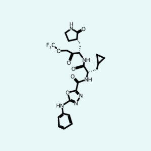 O=C(N[C@@H](CC1CC1)C(=O)N[C@@H](C[C@@H]1CCNC1=O)C(=O)COC(F)(F)F)c1nnc(Nc2ccccc2)o1